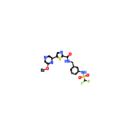 CCOc1cncc(-c2cnc(C(=O)NCc3cccc(NS(=O)(=O)C(F)F)c3)s2)n1